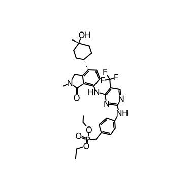 CCOP(=O)(Cc1ccc(Nc2ncc(C(F)(F)F)c(Nc3ccc([C@H]4CC[C@@](C)(O)CC4)c4c3C(=O)N(C)C4)n2)cc1)OCC